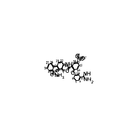 N=C(N)c1cccc(Oc2ccc([N+](=O)[O-])cc2C(=O)Nc2ccc(-c3ccccc3S(N)(=O)=O)cc2F)c1